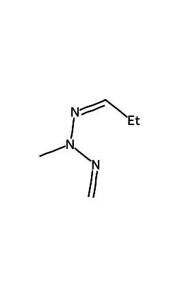 C=NN(C)/N=C\CC